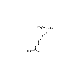 C=C(C)CCCCCCC(CC)C(=O)O